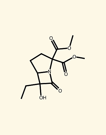 CCC1(O)C(=O)N2C1CCC2(C(=O)OC)C(=O)OC